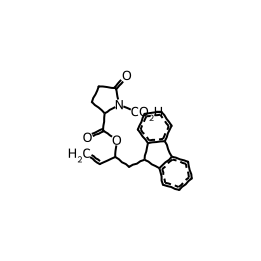 C=CC(CC1c2ccccc2-c2ccccc21)OC(=O)C1CCC(=O)N1C(=O)O